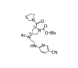 CC(=O)N(CCNc1ccc(C#N)cn1)[C@H]1C[C@@H](C(=O)N2CCSC2)N(C(=O)OC(C)(C)C)C1